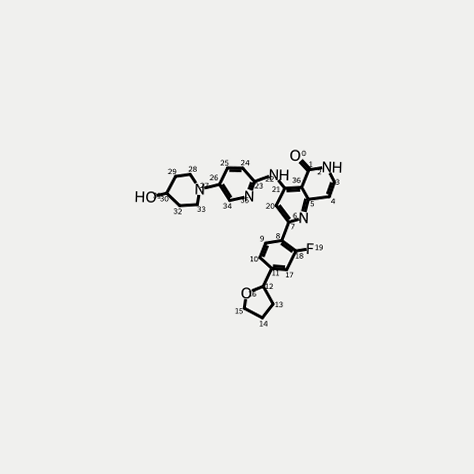 O=c1[nH]ccc2nc(-c3ccc(C4CCCO4)cc3F)cc(Nc3ccc(N4CCC(O)CC4)cn3)c12